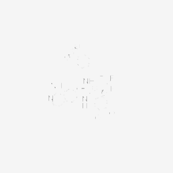 CCOc1cc(C(Nc2ccc3c(N)nccc3c2)(OC(=O)C(F)(F)F)C(=O)NCc2cccc(S(C)(=O)=O)c2)ccc1OC(C)C